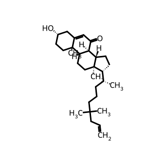 C=CCC(C)(C)CCC[C@@H](C)[C@H]1CC[C@H]2[C@@H]3C(=O)C=C4C[C@@H](O)CC[C@]4(C)[C@H]3CC[C@]12C